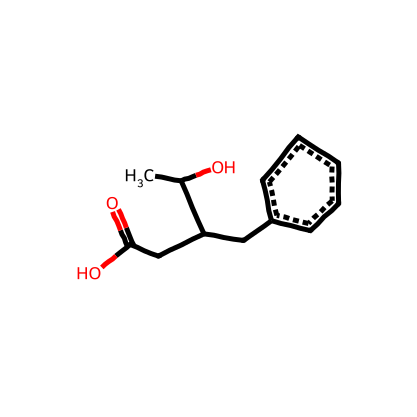 CC(O)C(CC(=O)O)Cc1ccccc1